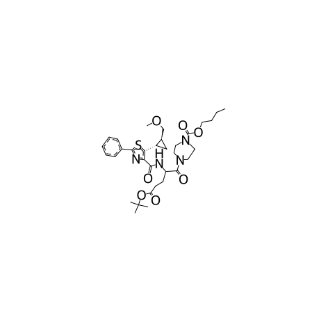 CCCCOC(=O)N1CCN(C(=O)C(CCC(=O)OC(C)(C)C)NC(=O)c2nc(-c3ccccc3)sc2[C@H]2C[C@@H]2COC)CC1